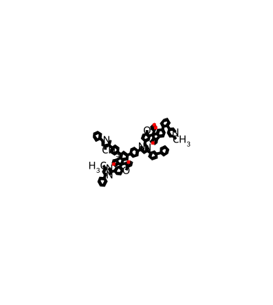 Cc1ccc(-c2ccccc2-c2ccc3c(c2)C2(c4ccccc4Oc4ccc(-c5nc(-c6ccc(-c7cc(-c8ccc(-c9cnc(-c%10ccccc%10)cc9C)cc8)c8c(c7)C7(c9ccccc9Oc9ccc(-c%10nc(C)cc(-c%11ccccc%11)n%10)cc97)c7ccccc7-8)cc6)cc(-c6cccc(-c7ccccc7)c6)n5)cc42)c2ccccc2-3)cn1